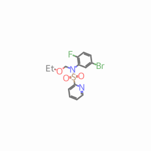 CCOCN(c1cc(Br)ccc1F)S(=O)(=O)c1ccccn1